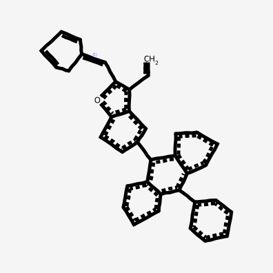 C=Cc1c(/C=C2/C=CC=CC2)oc2ccc(-c3c4ccccc4c(-c4ccccc4)c4ccccc34)cc12